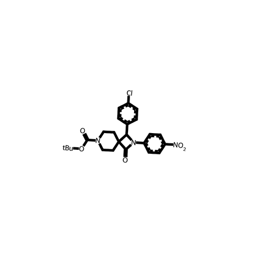 CC(C)(C)OC(=O)N1CCC2(CC1)C(=O)N(c1ccc([N+](=O)[O-])cc1)C2c1ccc(Cl)cc1